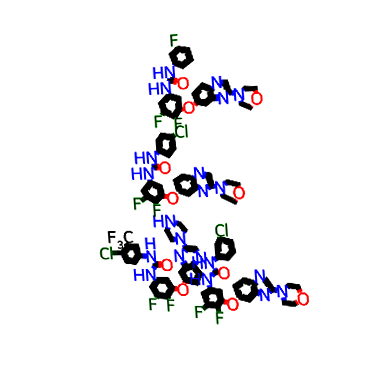 O=C(Nc1cc(F)c(F)c(Oc2ccc3ncc(N4CCNCC4)nc3c2)c1)Nc1ccc(Cl)c(C(F)(F)F)c1.O=C(Nc1ccc(Cl)cc1)Nc1cc(F)c(F)c(Oc2ccc3ncc(N4CCOCC4)nc3c2)c1.O=C(Nc1cccc(Cl)c1)Nc1cc(F)c(F)c(Oc2ccc3ncc(N4CCOCC4)nc3c2)c1.O=C(Nc1cccc(F)c1)Nc1cc(F)c(F)c(Oc2ccc3ncc(N4CCOCC4)nc3c2)c1